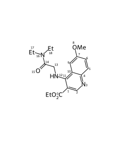 CCOC(=O)c1cnc2ccc(OC)cc2c1NCC(=O)N(CC)CC